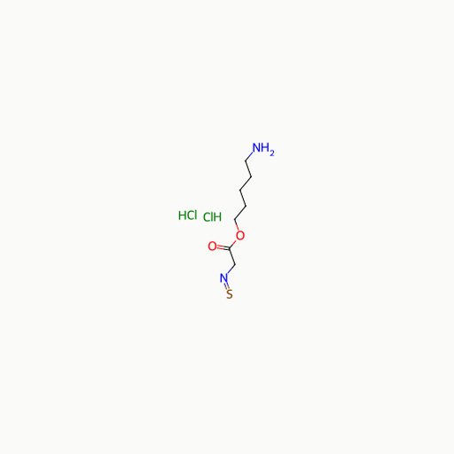 Cl.Cl.NCCCCCOC(=O)CN=S